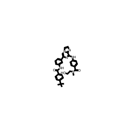 CN(CCO)C(=O)c1ccc(Nc2nc(-c3cccc(NC(=O)c4ccc(C(C)(C)C)cc4)c3)cn3ccnc23)cc1